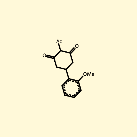 COc1ccccc1C1CC(=O)C(C(C)=O)C(=O)C1